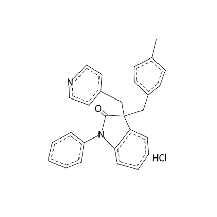 Cc1ccc(CC2(Cc3ccncc3)C(=O)N(c3ccccc3)c3ccccc32)cc1.Cl